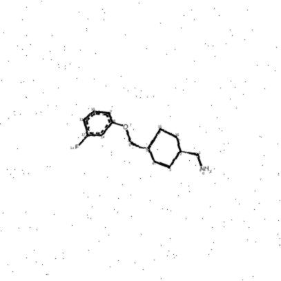 NC[C@H]1CC[C@@H](COc2cccc(F)c2)CC1